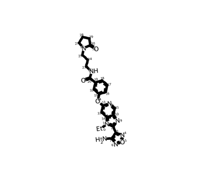 CCn1c(-c2nonc2N)nc2cnc(Oc3cccc(C(=O)NCCCN4CCCC4=O)c3)cc21